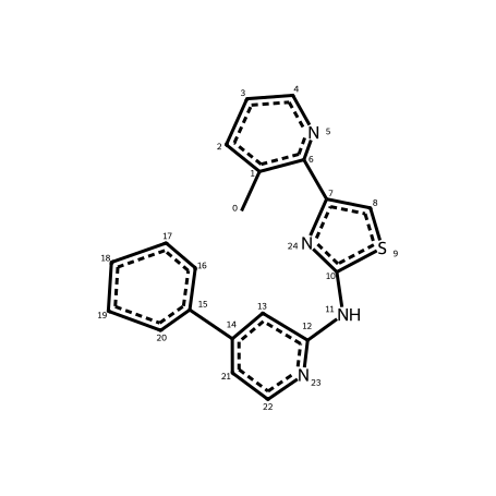 Cc1cccnc1-c1csc(Nc2cc(-c3ccccc3)ccn2)n1